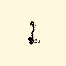 CC(C)(C)[Si](OCCCCCC#CCCCCOC1CCCCO1)(c1ccccc1)c1ccccc1